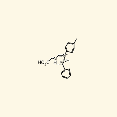 Cc1ccc([N+](=CNCC(=O)O)N[C@@H](C)c2ccccc2)cc1